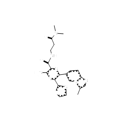 Cc1cnc2ccc(-c3nc(C(=O)NCCC(=O)N(C)C)c(N)nc3-c3ncco3)cn12